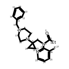 CCC(=O)N(CC1(N2CCN(Cc3ccccc3)CC2)CC1)c1ncccc1F